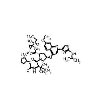 C=C[C@@H]1C[C@]1(NC(=O)[C@@H]1C[C@@H](Oc2cc(-c3csc(NC(C)C)n3)nc3cc(OC)ccc23)CN1C(=O)C(NC(=O)OC1CCCC1)C(C)(C)C)P(=O)(O)CC